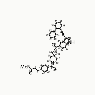 CNC(=O)CCc1ccc(C(=O)N2CCC3(CC2)CN(C(=O)c2ccc4[nH]nc(C#Cc5ccccc5-c5ccccc5)c4c2)C3)cc1